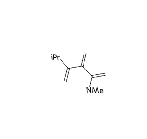 C=C(NC)C(=C)C(=C)C(C)C